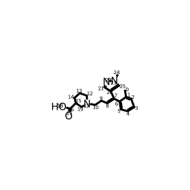 Cc1ccccc1C(=CCCN1CCCC(C(=O)O)C1)c1cnn(C)c1